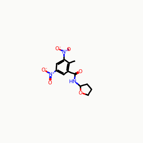 Cc1c(C(=O)NC2CCCO2)cc([N+](=O)[O-])cc1[N+](=O)[O-]